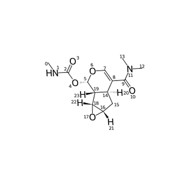 CNC(=O)O[C@@H]1OC=C(C(=O)N(C)C)[C@H]2C[C@@H]3O[C@@H]3[C@H]12